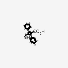 CC(=O)NC[C@H]1[C@@H](c2ccccc2)[C@@H](C(=O)O)[C@@H]1c1ccccc1